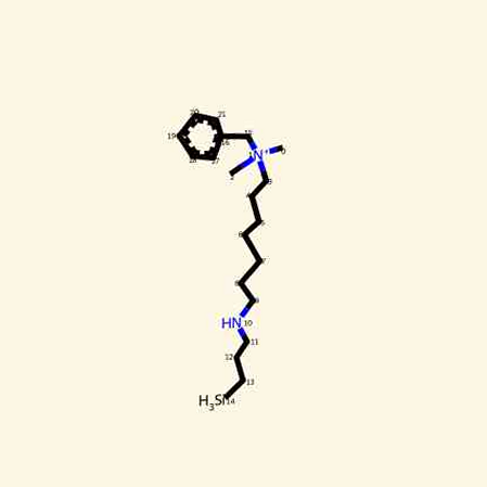 C[N+](C)(CCCCCCCNCCC[SiH3])Cc1ccccc1